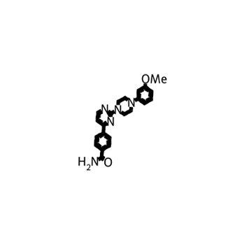 COc1cccc(N2CCN(c3nccc(-c4ccc(C(N)=O)cc4)n3)CC2)c1